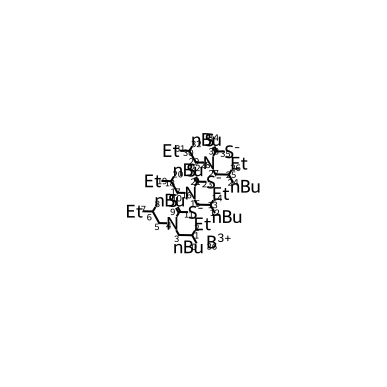 CCCCC(CC)CN(CC(CC)CCCC)C(=S)[S-].CCCCC(CC)CN(CC(CC)CCCC)C(=S)[S-].CCCCC(CC)CN(CC(CC)CCCC)C(=S)[S-].[B+3]